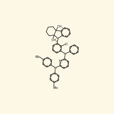 CC(C)(C)c1ccc(N(c2ccc(C(C)(C)C)cc2)c2cccc(N(c3ccccc3)c3cccc(N4c5ccccc5C5(C)CCCCC45C)c3Cl)n2)cc1